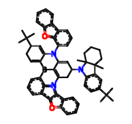 CC(C)(C)c1ccc2c(c1)C1(C)CCCCC1(C)N2C1C=C2C3=C(C1)n1c4c(cccc4c4oc5ccccc5c41)B3C1=CCC(C(C)(C)C)C=C1N2c1cccc2c1oc1ccccc12